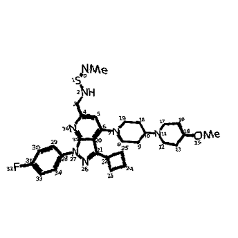 CNSNCc1cc(N2CCC(N3CCC(OC)CC3)CC2)c2c(C3CCC3)nn(-c3ccc(F)cc3)c2n1